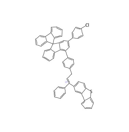 Clc1ccc(-c2cc(-c3ccc(C/C=C(/c4ccccc4)c4ccc5sc6ccccc6c5c4)cc3)c3c(c2)C2(c4ccccc4-c4ccccc42)c2ccccc2-3)cc1